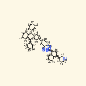 N=C1C=C(c2ccc3c(-c4ccccc4)c4ccccc4c(-c4ccccc4)c3c2)C=C/C1=N/Nc1ccc(-c2cccnc2)c2ccccc12